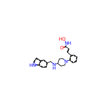 O=C(/C=C/c1ccccc1N1CCC(NCc2ccc3[nH]ccc3c2)CC1)NO